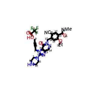 CC#CCn1c(N2CCNCC2)nc2cnn(Cc3cc(OCC)c(C(=O)NC)cc3C#N)c(=O)c21.O=C(O)C(F)(F)F